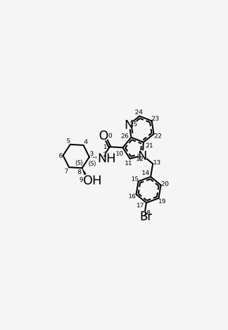 O=C(N[C@H]1CCCC[C@@H]1O)c1cn(Cc2ccc(Br)cc2)c2cccnc12